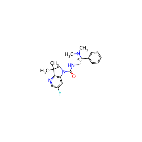 CN(C)[C@@H](CNC(=O)N1CC(C)(C)c2ncc(F)cc21)c1ccccc1